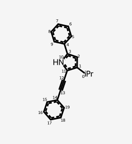 CC(C)c1cc(-c2ccccc2)[nH]c1C#Cc1ccccc1